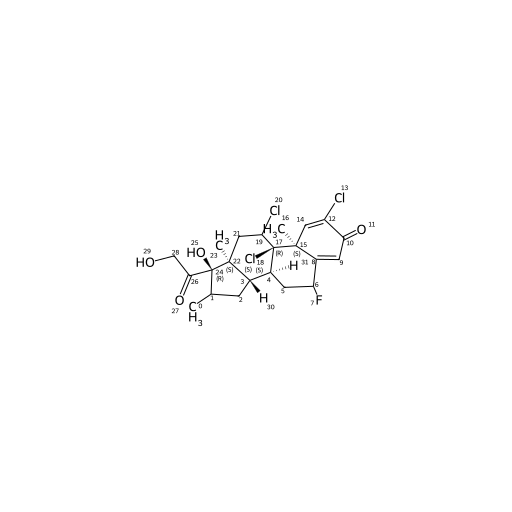 CC1C[C@H]2[C@@H]3CC(F)C4=CC(=O)C(Cl)=C[C@]4(C)[C@@]3(Cl)C(Cl)C[C@]2(C)[C@@]1(O)C(=O)CO